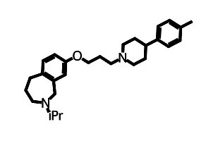 Cc1ccc(C2CCN(CCCOc3ccc4c(c3)CN(C(C)C)CCC4)CC2)cc1